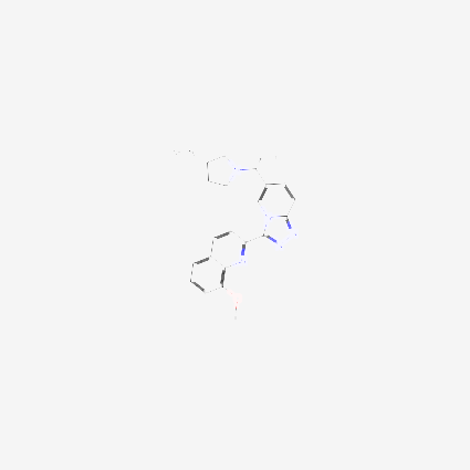 CN[C@H]1CCN([C@H](c2ccc3nnc(-c4ccc5cccc(OC(C)C)c5n4)n3c2)C(F)(F)F)C1